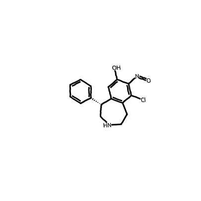 O=Nc1c(O)cc2c(c1Cl)CCNC[C@@H]2c1ccccc1